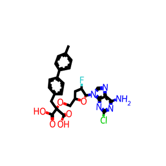 Cc1ccc(-c2ccc(CC(OCC3CC(F)C(n4cnc5c(N)nc(Cl)nc54)O3)(C(=O)O)C(=O)O)cc2)cc1